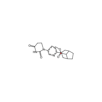 COC(=O)C1C2CCC1CN(c1ccc(N3CCC(=O)NC3=O)cn1)C2